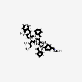 CC[C@H](C)[C@@H](C(=O)N[C@@H](Cc1ccccc1)[C@H](O)CN(CC1CCCC1)S(=O)(=O)c1ccc(/C=N/O)cc1)N1CCN(Cc2cnccc2C)C1=O